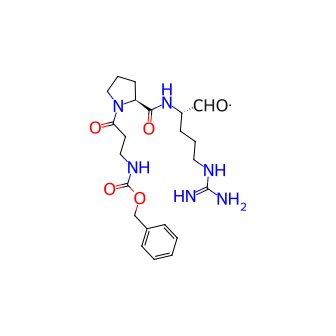 N=C(N)NCCC[C@@H]([C]=O)NC(=O)[C@@H]1CCCN1C(=O)CCNC(=O)OCc1ccccc1